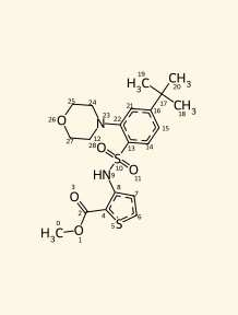 COC(=O)c1sccc1NS(=O)(=O)c1ccc(C(C)(C)C)cc1N1CCOCC1